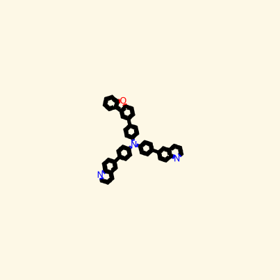 c1cnc2ccc(-c3ccc(N(c4ccc(-c5ccc6ncccc6c5)cc4)c4ccc(-c5ccc6oc7ccccc7c6c5)cc4)cc3)cc2c1